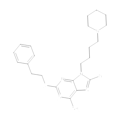 Nc1nc(SCCc2ccccc2)nc2c1nc(Br)n2CCCCN1CCCCC1